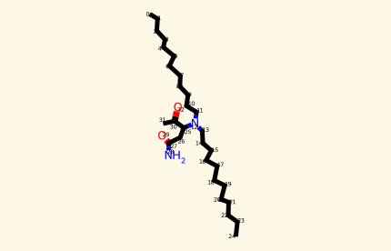 CCCCCCCCCCCCN(CCCCCCCCCCCC)C(CC(N)=O)C(C)=O